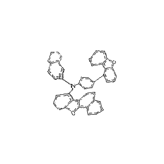 c1ccc2cc(N(c3ccc(-c4cccc5oc6ccccc6c45)cc3)c3cccc4oc5c6ccccc6ccc5c34)ccc2c1